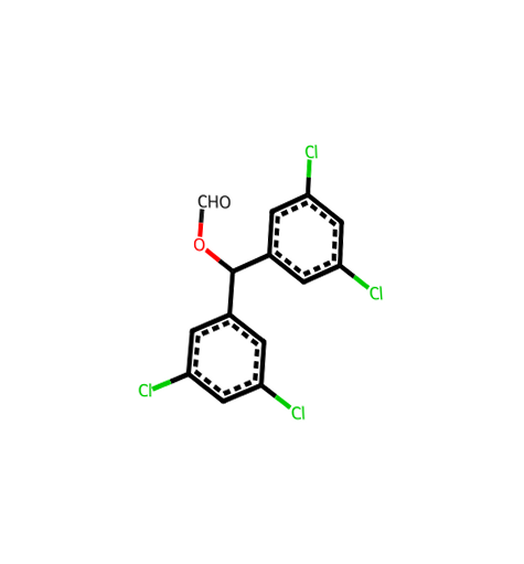 O=COC(c1cc(Cl)cc(Cl)c1)c1cc(Cl)cc(Cl)c1